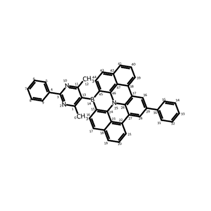 Cc1nc(-c2ccccc2)nc(C)c1B1c2ccc3cccc4c3c2N2c3c-4cc(-c4ccccc4)cc3-c3cccc4ccc1c2c34